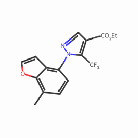 CCOC(=O)c1cnn(-c2ccc(C)c3occc23)c1C(F)(F)F